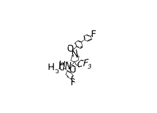 C[C@H](NC(=O)C1(CC(F)(F)F)CCN(C(=O)c2ccc(-c3ccc(F)cc3)cc2)CC1)c1ccc(F)cc1